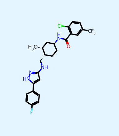 C[C@@H]1C[C@@H](NC(=O)c2cc(C(F)(F)F)ccc2Cl)CC[C@@H]1CNc1cc(-c2ccc(F)cc2)[nH]n1